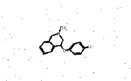 CN1Cc2ccccc2C(Oc2ccc(Cl)cc2)C1